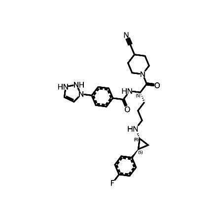 N#CC1CCN(C(=O)[C@H](CCCN[C@@H]2C[C@H]2c2ccc(F)cc2)NC(=O)c2ccc(N3C=CNN3)cc2)CC1